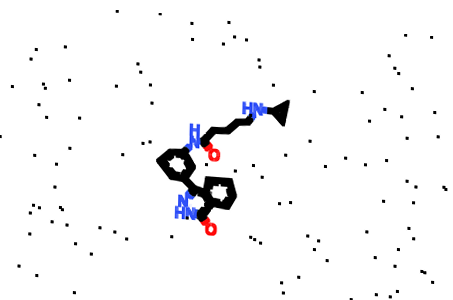 O=C(CCCCNC1CC1)Nc1cccc(-c2n[nH]c(=O)c3ccccc23)c1